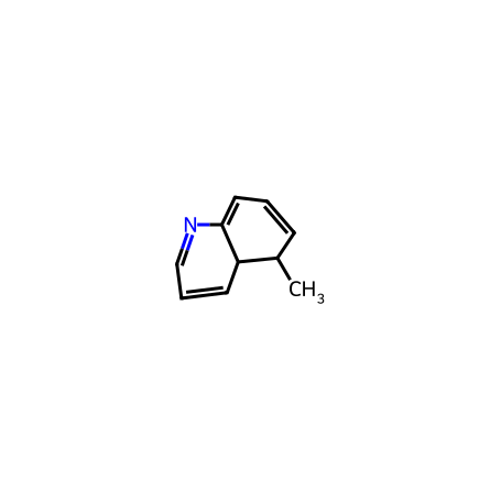 CC1C=CC=C2N=CC=CC21